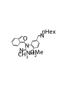 CCCCCCN=Cc1ccc(OC)c(N(C(N)=NC)c2occ3ccccc23)c1